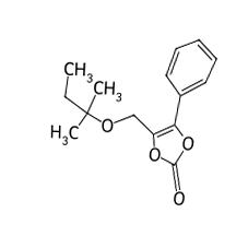 CCC(C)(C)OCc1oc(=O)oc1-c1ccccc1